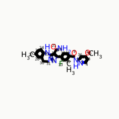 COc1ccnc(NC(=O)c2ccc(-c3nn4c(c3C(N)=O)Nc3ccc(C)cc3CC4)c(F)c2C)c1